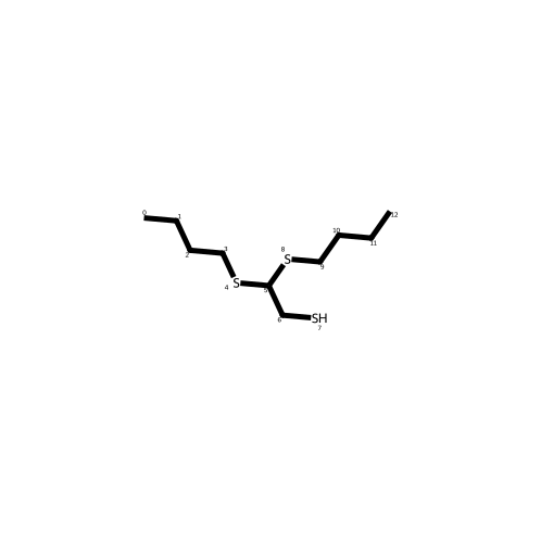 CCCCSC(CS)SCCCC